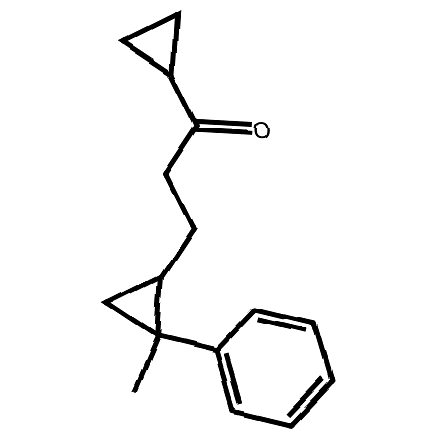 CC1(c2ccccc2)CC1CCC(=O)C1CC1